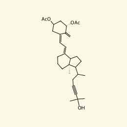 C=C1/C(=C\C=C2/CCC[C@@]3(C)C2CCC3C(C)CC#CC(C)(C)O)CC(OC(C)=O)C[C@@H]1OC(C)=O